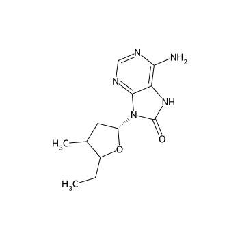 CCC1O[C@@H](n2c(=O)[nH]c3c(N)ncnc32)CC1C